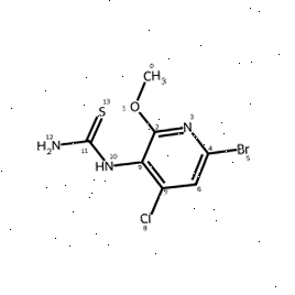 COc1nc(Br)cc(Cl)c1NC(N)=S